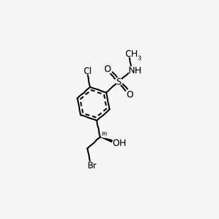 CNS(=O)(=O)c1cc([C@@H](O)CBr)ccc1Cl